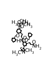 Cc1nc(C)c(-c2cc(/C=C/C(N)=O)c(OCc3ccccc3)c(NC(=O)/C=C/c3cc(B4OC(C)(C)C(C)(C)O4)ccc3OCc3ccccc3)c2)s1